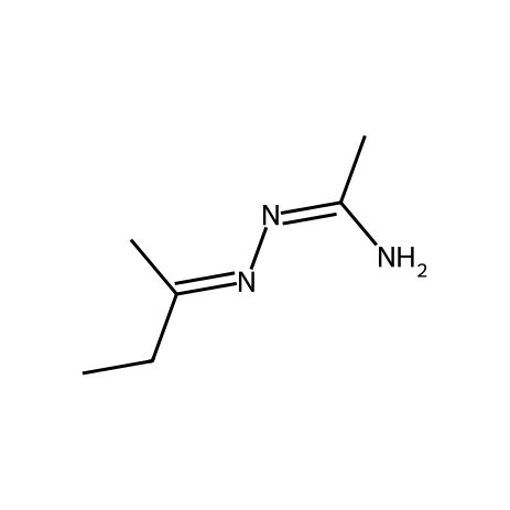 CC/C(C)=N/N=C(/C)N